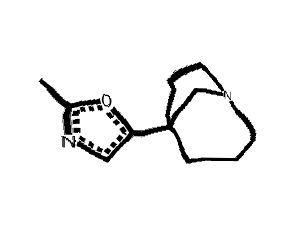 Cc1ncc(C23CCCN(CC2)C3)o1